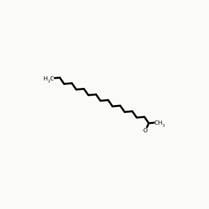 CCCCCCCCCCCCCCCCC(C)[O]